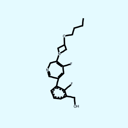 CCCCOC1CN(C2=C(F)C=C(c3cccc(CO)c3F)C=NC2)C1